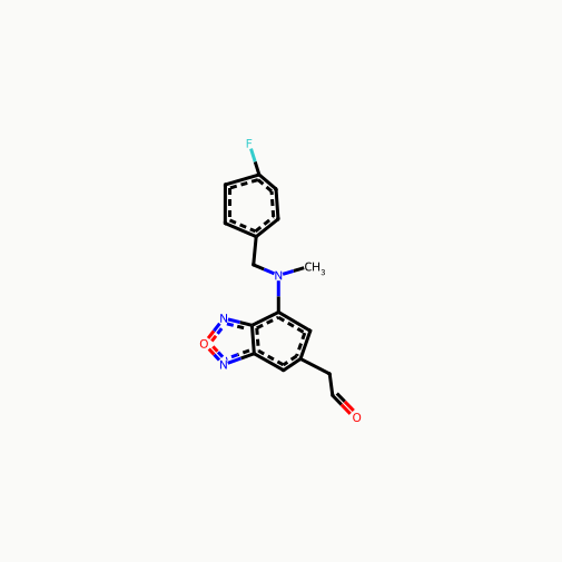 CN(Cc1ccc(F)cc1)c1cc(CC=O)cc2nonc12